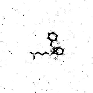 CN(C)CCCOC1[C@@H](Cc2ccccc2)[C@@]2(C)CC[C@@H]1C2(C)C